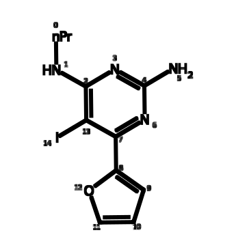 CCCNc1nc(N)nc(-c2ccco2)c1I